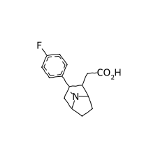 CN1C2CCC1C(CC(=O)O)C(c1ccc(F)cc1)C2